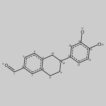 O=Cc1ccc2c(c1)CCN(c1ccc(Cl)c(Cl)c1)C2